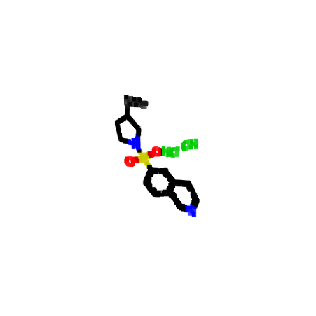 CNC1CCN(S(=O)(=O)c2ccc3cnccc3c2)C1.Cl.Cl